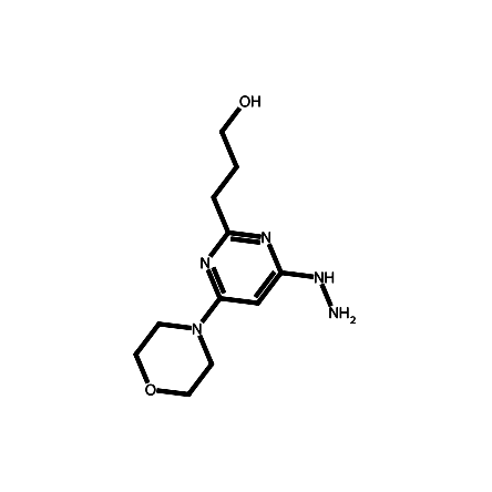 NNc1cc(N2CCOCC2)nc(CCCO)n1